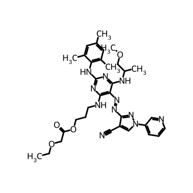 CCOCC(=O)OCCCNc1nc(Nc2c(C)cc(C)cc2C)nc(NC(C)COC)c1N=Nc1nn(-c2cccnc2)cc1C#N